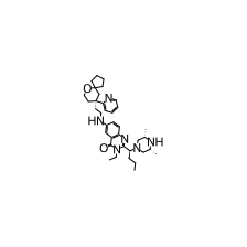 CCC[C@@H](c1nc2ccc(NCC[C@]3(c4ccccn4)CCOC4(CCCC4)C3)cc2c(=O)n1CC)N1C[C@@H](C)N[C@@H](C)C1